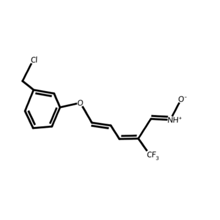 [O-]/[NH+]=C/C(=C\C=C\Oc1cccc(CCl)c1)C(F)(F)F